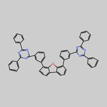 c1ccc(-c2nc(-c3ccccc3)nc(-c3cccc(-c4cccc5c4oc4c(-c6cccc(-c7nc(-c8ccccc8)nc(-c8ccccc8)n7)c6)cccc45)c3)n2)cc1